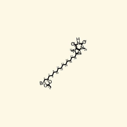 CC(=O)OC(CBr)CCCCCCCCCCCCc1nc2c(c(=O)[nH]c(=O)n2C)n1C